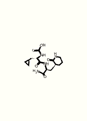 NC(=O)[C@H](C[C@@H]1CCCNC1=O)NC(=O)[C@H](CC1CC1)NC(=O)O